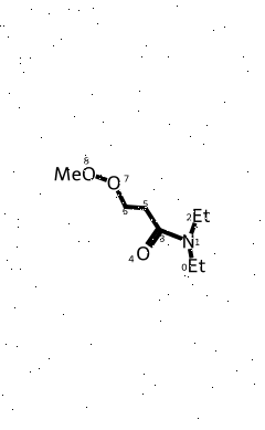 CCN(CC)C(=O)CCOOC